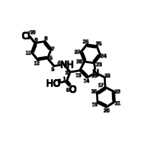 O=C(O)C(NCc1ccc(Cl)cc1)c1cn(Cc2ccccc2)c2ccccc12